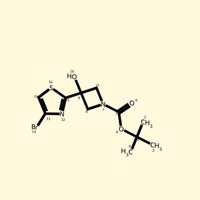 CC(C)(C)OC(=O)N1CC(O)(c2nc(Br)cs2)C1